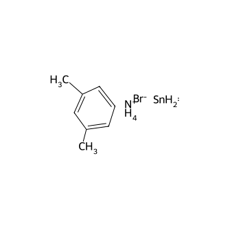 Cc1cccc(C)c1.[Br-].[NH4+].[SnH2]